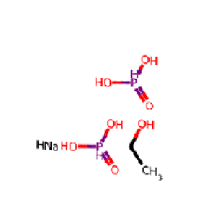 CCO.O=[PH](O)O.O=[PH](O)O.[NaH]